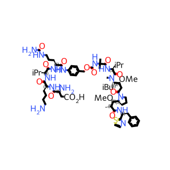 CC[C@H](C)[C@@H]([C@@H](CC(=O)N1CCC[C@H]1[C@H](OC)[C@@H](C)C(=O)N[C@@H](Cc1ccccc1)c1nccs1)OC)N(C)C(=O)[C@@H](NC(=O)C(C)(C)NC(=O)OCc1ccc(NC(=O)[C@H](CCCNC(N)=O)NC(=O)[C@@H](NC(=O)[C@H](CCCCN)NC(=O)[C@@H](N)CC(=O)O)C(C)C)cc1)C(C)C